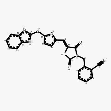 N#Cc1ccccc1CN1C(=O)SC(=Cc2ccc(Sc3nc4ccccc4[nH]3)o2)C1=O